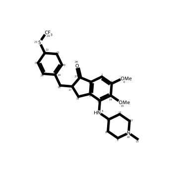 COc1cc2c(c(NC3CCN(C)CC3)c1OC)CC(CC1=CCC(SC(F)(F)F)C=C1)C2=O